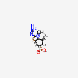 Cn1c(=NN)sc2cc([S-](=O)=O)ccc21.[K+]